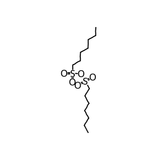 CCCCCCCS(=O)(=O)OS(=O)(=O)CCCCCCC